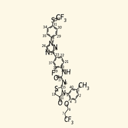 Cc1ccc(OCCC(F)(F)F)c(N2C(=O)CSC2=NC(=O)Nc2ccc(-c3ncn(-c4ccc(SC(F)(F)F)cc4)n3)cc2F)c1